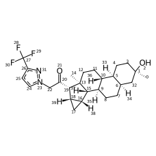 C[C@@]1(O)CC[C@H]2[C@H](CC[C@@H]3[C@@H]2CC[C@@]2(C)[C@H]3[C@@H]3C[C@@H]3[C@@H]2C(=O)Cn2ccc(C(F)(F)F)n2)C1